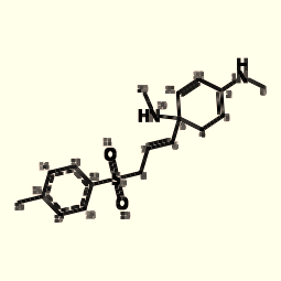 CNC1=CCC(C=CCS(=O)(=O)c2ccc(C)cc2)(NC)C=C1